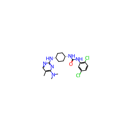 Cc1cnc(N[C@H]2CC[C@@H](NC(=O)Nc3cc(Cl)ccc3Cl)CC2)nc1N(C)C